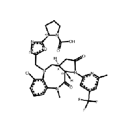 Cc1cc(C(F)(F)F)cc(N2C(=O)C[C@@H]3CN(Cc4nnc([C@H]5CCCN5C(=O)O)o4)c4c(Cl)cccc4N(C)C(=O)[C@H]32)n1